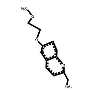 COCCOc1ccc2nc(CN)ccc2c1